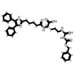 N=C(NCCC[C@H](NC(=O)CCCCc1nc(-c2ccccc2)c(-c2ccccc2)o1)C(=O)O)NC(=O)OCc1ccccc1